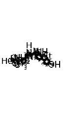 CCc1cc(O)ccc1-c1ccc2c(-c3nc(C4=CCN(C(=O)[C@@H](N)C(C)(C)O)C4)c[nH]3)n[nH]c2c1F